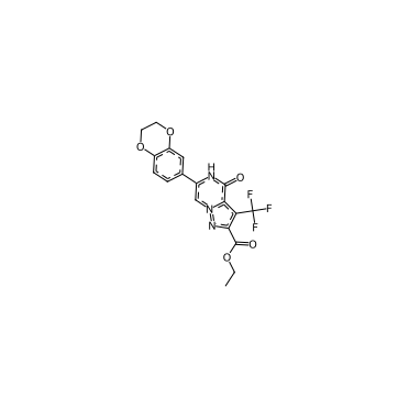 CCOC(=O)c1nn2cc(-c3ccc4c(c3)OCCO4)[nH]c(=O)c2c1C(F)(F)F